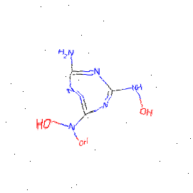 Nc1nc(NO)nc(N(O)O)n1